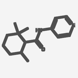 CC1CCCC(C)(C)C1C(=O)Nc1ccncc1